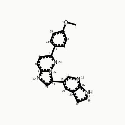 COc1ccc(-c2ccc3ncc(-c4cnc5[nH]ccc5c4)n3n2)cc1